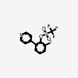 O=S(=O)(Oc1c(F)cccc1-c1ccncc1)C(F)(F)F